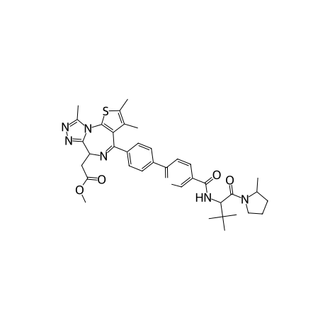 C=C(/C=C\C(=C/C)C(=O)NC(C(=O)N1CCCC1C)C(C)(C)C)c1ccc(C2=NC(CC(=O)OC)c3nnc(C)n3-c3sc(C)c(C)c32)cc1